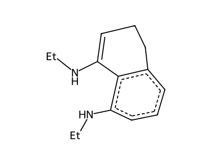 CCNC1=CCCc2cccc(NCC)c21